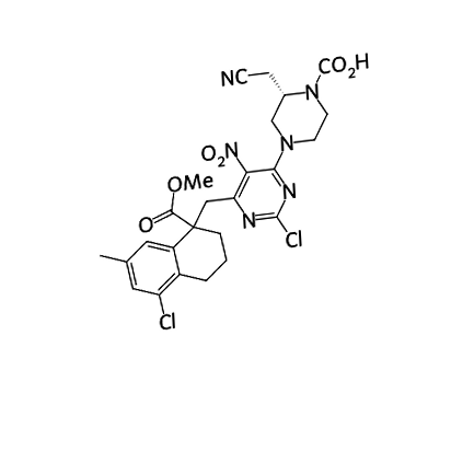 COC(=O)C1(Cc2nc(Cl)nc(N3CCN(C(=O)O)[C@@H](CC#N)C3)c2[N+](=O)[O-])CCCc2c(Cl)cc(C)cc21